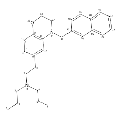 CCCN(CCC)CCc1ccc2c(c1)N(Cc1ccc3ccccc3c1)CCO2